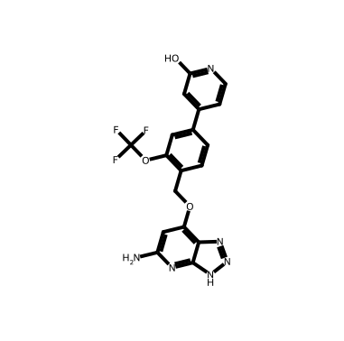 Nc1cc(OCc2ccc(-c3ccnc(O)c3)cc2OC(F)(F)F)c2nn[nH]c2n1